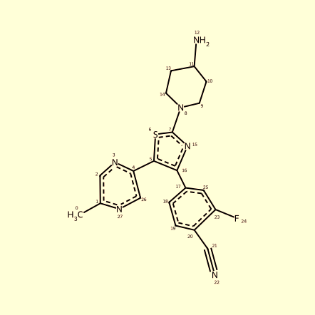 Cc1cnc(-c2sc(N3CCC(N)CC3)nc2-c2ccc(C#N)c(F)c2)cn1